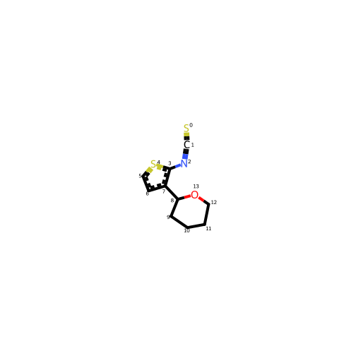 S=C=Nc1sccc1C1CCCCO1